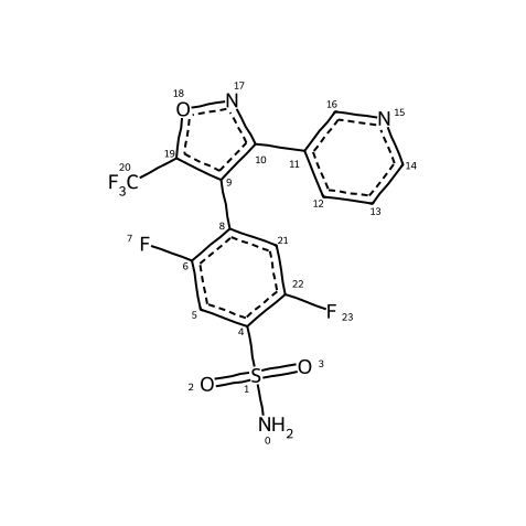 NS(=O)(=O)c1cc(F)c(-c2c(-c3cccnc3)noc2C(F)(F)F)cc1F